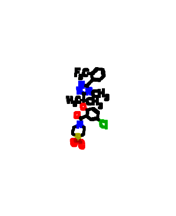 Cn1c(-c2ccccc2C(F)(F)F)nnc1C(C)(C)Oc1ccc(Cl)cc1C(=O)N1CCS(=O)(=O)CC1